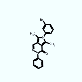 Cc1c2cnn(-c3ccccc3)c(=O)c2c(C)n1-c1cccc(Br)c1